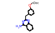 CCCCCCCCCCOc1cccc(Cc2nc(N)c3ccccc3n2)c1